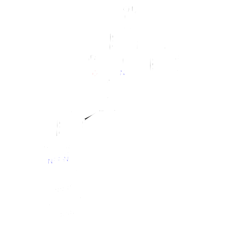 Cc1ccc(N(Cc2ccccc2)C(=O)[C@@H]2C[C@H]2c2ccc3cnn(Cc4ccccc4)c3c2)c(C(C)C)c1